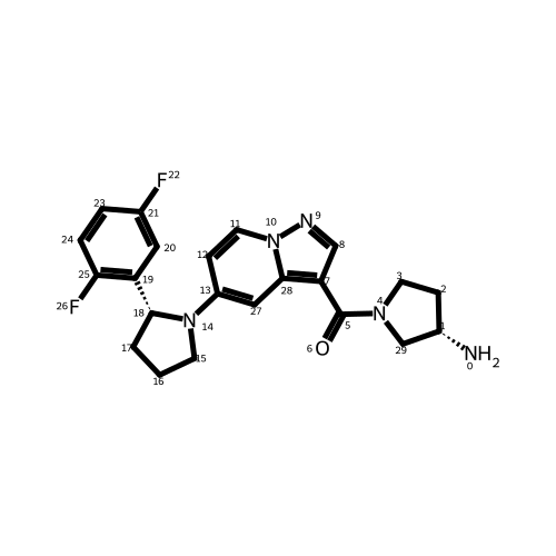 N[C@H]1CCN(C(=O)c2cnn3ccc(N4CCC[C@@H]4c4cc(F)ccc4F)cc23)C1